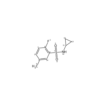 Cc1ccc(F)c(S(=O)(=O)NC2CC2)c1